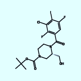 CC(C)(C)OC(=O)N1CCN(C(=O)c2cc(F)c(I)c(Cl)c2F)[C@H](CO)C1